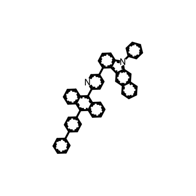 c1ccc(-c2ccc(-c3c4ccccc4c(-c4ccc(-c5cccc6c5c5cc7ccccc7cc5n6-c5ccccc5)cn4)c4ccccc34)cc2)cc1